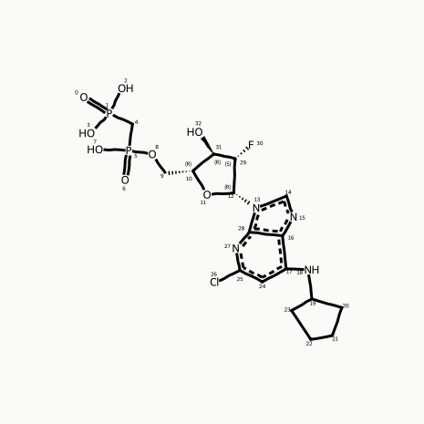 O=P(O)(O)CP(=O)(O)OC[C@H]1O[C@@H](n2cnc3c(NC4CCCC4)cc(Cl)nc32)[C@@H](F)[C@@H]1O